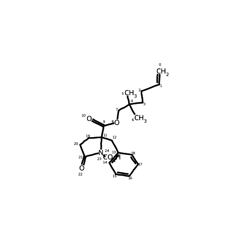 C=CCCC(C)(C)COC(=O)C1(Cc2ccccc2)CCC(=O)N1C(=O)O